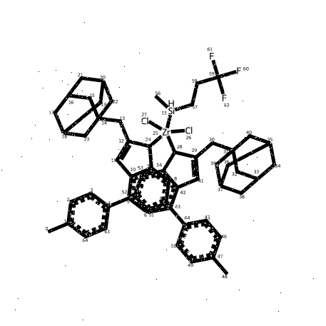 Cc1ccc(-c2cccc3c2C=C(CC24CC5CC(CC(C5)C2)C4)[CH]3[Zr]([Cl])([Cl])([CH]2C(CC34CC5CC(CC(C5)C3)C4)=Cc3c(-c4ccc(C)cc4)cccc32)[SiH](C)CCC(F)(F)F)cc1